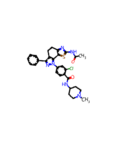 CC(=O)Nc1nc2c(s1)-c1c(c(-c3ccccc3)nn1-c1ccc(C(=O)NC3CCN(C)CC3)c(Cl)c1)CC2